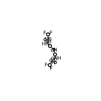 O=C(Nc1ccc(-c2cnc(-c3ccc(NC(=O)[C@@H]4CCCN4C(=O)c4cc(F)cc(F)c4)cc3)o2)cc1)[C@@H]1CCCN1C(=O)c1cc(F)cc(F)c1